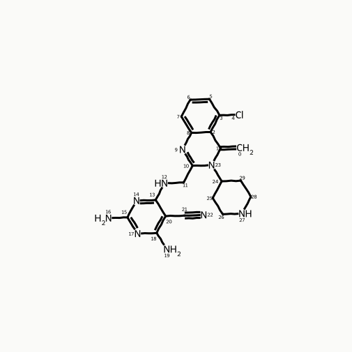 C=C1c2c(Cl)cccc2N=C(CNc2nc(N)nc(N)c2C#N)N1C1CCNCC1